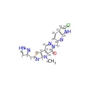 Cn1c2nc(Cc3cc[nH]n3)sc2c2cnn(Cc3ccc4cc(Cl)[nH]c4n3)c(=O)c21